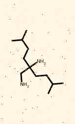 CC(C)CCC(N)(CN)CCC(C)C